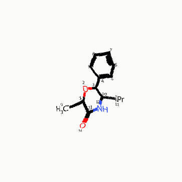 CC1OC(c2ccccc2)C(C(C)C)NC1=O